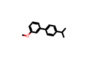 COc1cc[c]c(-c2ccc(C(C)C)cc2)c1